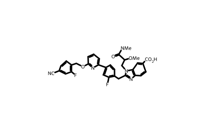 CNC(=O)C(Cn1c(Cc2ccc(-c3cccc(OCc4ccc(C#N)cc4F)n3)cc2F)nc2ccc(C(=O)O)cc21)OC